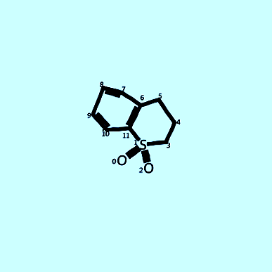 O=S1(=O)CCCc2ccc[c]c21